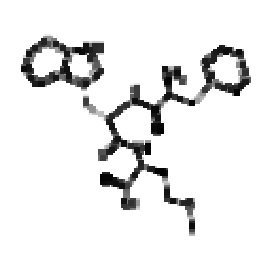 CSCC[C@H](NC(=O)[C@H](Cc1c[nH]c2ccccc12)NC(=O)[C@@H](N)Cc1ccccc1)C(=O)O